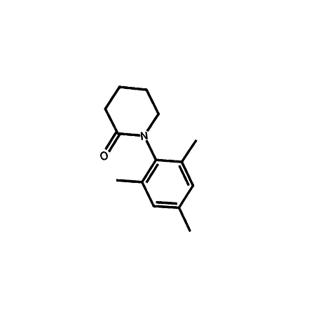 Cc1cc(C)c(N2CCCCC2=O)c(C)c1